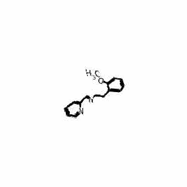 COc1ccccc1CCN=Cc1ccccn1